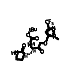 Cn1nc(C(F)(F)F)cc1OCC(=O)[C@H](C[C@@H]1CCNC1=O)NC(=O)OC(C)(C)C